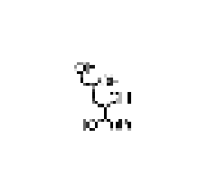 CCCC(O)C(O)CC(O)CO